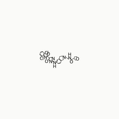 O=C(NCCN1CCc2cc(Nc3ncc4c(n3)OCN(c3c(Cl)cccc3Cl)C4=O)ccc2C1)C1CCOC1